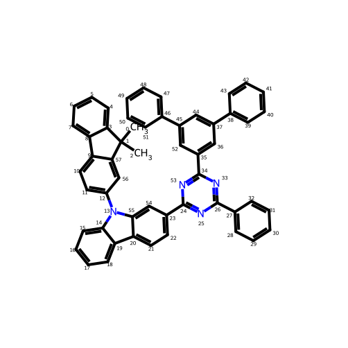 CC1(C)c2ccccc2-c2ccc(-n3c4ccccc4c4ccc(-c5nc(-c6ccccc6)nc(-c6cc(-c7ccccc7)cc(-c7ccccc7)c6)n5)cc43)cc21